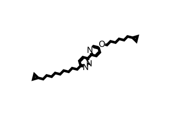 c1cc(-c2ccc(CCCCCCCCCC3CC3)nn2)ncc1OCCCCCCC1CC1